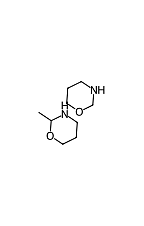 C1CNCOC1.CC1NCCCO1